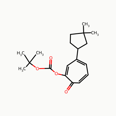 CC1(C)CCC(c2cccc(=O)c(OC(=O)OC(C)(C)C)c2)C1